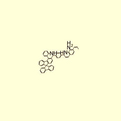 C/C=C\c1ccc2c(c1N)NC(c1ccc(C3Nc4ccccc4-c4c3ccc3c4-c4ccccc4C34c3ccccc3-c3ccccc34)cc1)C=C2